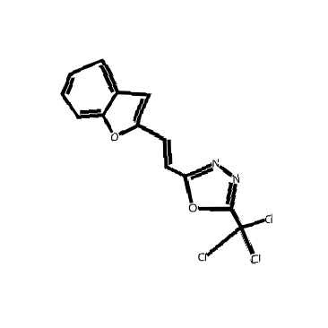 ClC(Cl)(Cl)c1nnc(C=Cc2cc3ccccc3o2)o1